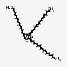 CCCCCCCCC=CCCCCCCCC(=O)[Si](O)(C(=O)CCCCCCCC=CCCCCCCCC)C(=O)CCCCCCCC=CCCCCCCCC